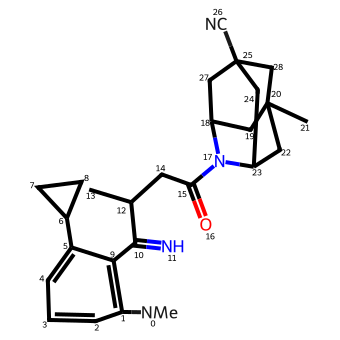 CNc1cccc(C2CC2)c1C(=N)C(C)CC(=O)N1C2CC3(C)CC1CC(C#N)(C2)C3